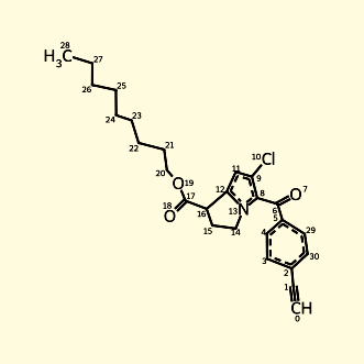 C#Cc1ccc(C(=O)c2c(Cl)cc3n2CCC3C(=O)OCCCCCCCCC)cc1